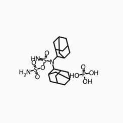 N=S(=O)(OS(N)(=O)=O)N(C1C2CC3CC(C2)CC1C3)C1C2CC3CC(C2)CC1C3.O=P(O)(O)O